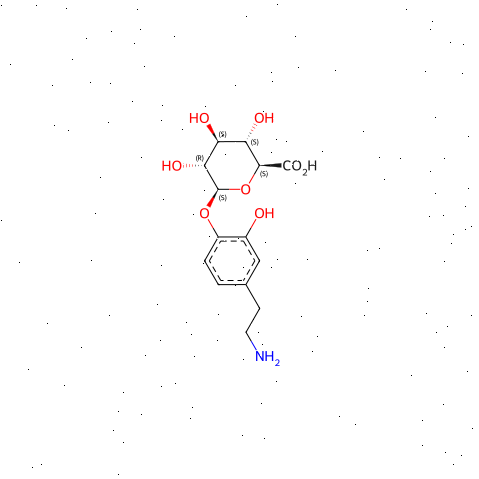 NCCc1ccc(O[C@@H]2O[C@H](C(=O)O)[C@@H](O)[C@H](O)[C@H]2O)c(O)c1